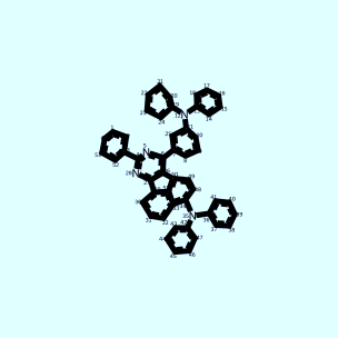 c1ccc(-c2nc(-c3cccc(N(c4ccccc4)c4ccccc4)c3)c3c(n2)-c2cccc4c(N(c5ccccc5)c5ccccc5)ccc-3c24)cc1